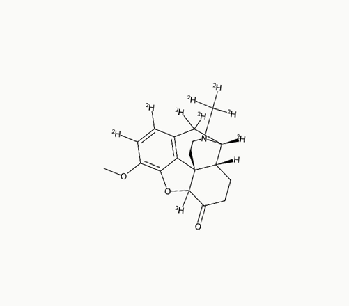 [2H]c1c([2H])c2c3c(c1OC)OC1([2H])C(=O)CC[C@@H]4[C@@]31CCN(C([2H])([2H])[2H])[C@]4([2H])C2([2H])[2H]